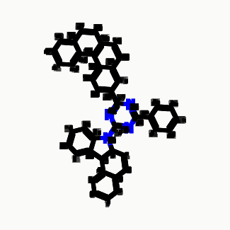 C1=CC2C(c3ccccc31)c1ccccc1N2c1nc(-c2ccccc2)nc(-c2ccc3c(ccc4ccc5ccccc5c43)c2)n1